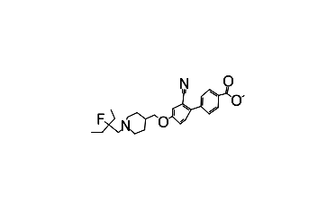 CCC(F)(CC)CN1CCC(COc2ccc(-c3ccc(C(=O)OC)cc3)c(C#N)c2)CC1